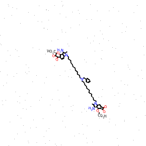 Cc1c(N)c2c3c(ccc2n1CCCCCCCCCCCCN(CCCCCCCCCCCCn1c(C)c(N)c2c(OCC(=O)O)c4c(=O)c(=O)c4cc21)Cc1ccccc1)C(=O)C(=O)C(C(=O)O)O3